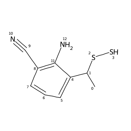 CC(SS)c1cccc(C#N)c1N